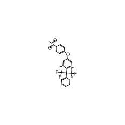 CS(=O)(=O)c1ccc(Oc2ccc(C(c3ccccc3)(C(F)(F)F)C(F)(F)F)cc2)cc1